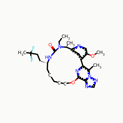 CCN1C(=O)N[C@@H](CCC(C)(F)F)CCCCCOc2nc(c(C)n3ncnc23)-c2cc(ncc2OC)[C@H]1C